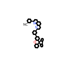 N#Cc1cccc(-c2ccc3ccc4ccc(-c5cccc(-c6ccc7c(c6)Oc6ccccc6C76c7ccccc7-c7ccccc76)c5)nc4c3n2)c1